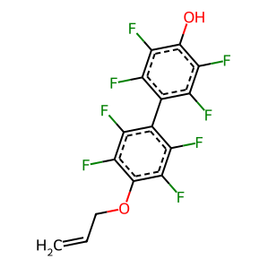 C=CCOc1c(F)c(F)c(-c2c(F)c(F)c(O)c(F)c2F)c(F)c1F